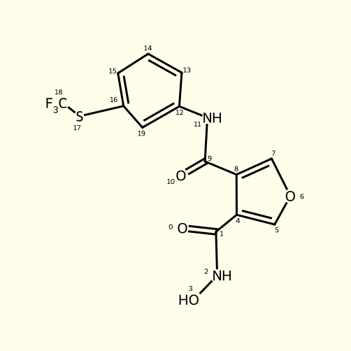 O=C(NO)c1cocc1C(=O)Nc1cccc(SC(F)(F)F)c1